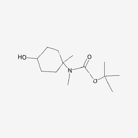 CN(C(=O)OC(C)(C)C)C1(C)CCC(O)CC1